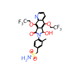 Cc1cc(CS(N)(=O)=O)ccc1N1C(=O)c2c(c(OCC(F)(F)F)c3cccnc3c2OCC(F)(F)F)C1O